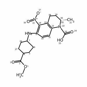 COC(=O)C1CCC(Nc2ccc3c(c2[N+](=O)[O-])CC[C@H](C)N3C(=O)O)CC1